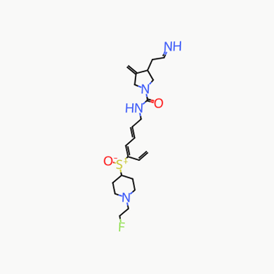 C=C/C(=C\C=C\CNC(=O)N1CC(=C)C(CC=N)C1)[S+]([O-])C1CCN(CCF)CC1